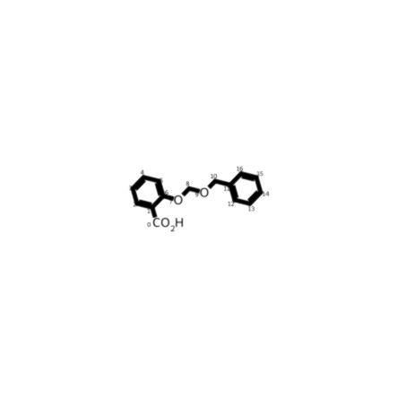 O=C(O)c1ccccc1OCOCc1ccccc1